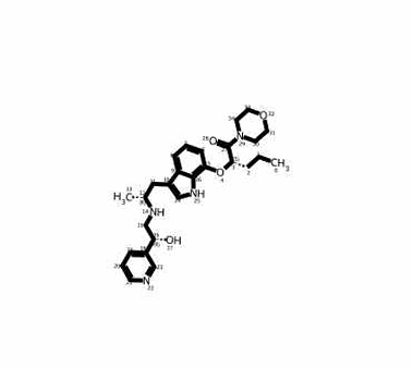 CCC[C@H](Oc1cccc2c(C[C@@H](C)NC[C@H](O)c3cccnc3)c[nH]c12)C(=O)N1CCOCC1